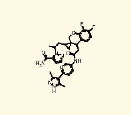 Cc1n[nH]c(C)c1-c1ccc(NC(=O)CC2c3ccc(F)c(F)c3OCC23CC3CC(C)n2nccc2C(N)=O)cn1